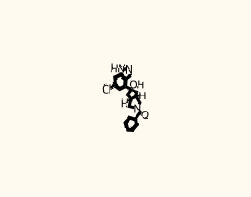 O=C(c1ccccc1)N1C[C@@H]2C[C@@](O)(c3cc(Cl)cc4[nH]ncc34)C[C@@H]2C1